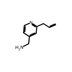 C=CCc1cc(CN)ccn1